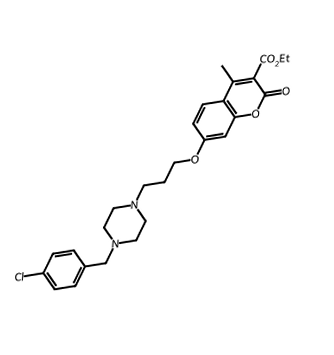 CCOC(=O)c1c(C)c2ccc(OCCCN3CCN(Cc4ccc(Cl)cc4)CC3)cc2oc1=O